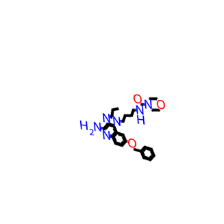 CCc1nc2c(N)nc3ccc(OCc4ccccc4)cc3c2n1CCCCNC(=O)N1CCOCC1